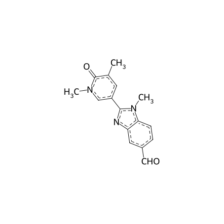 Cc1cc(-c2nc3cc(C=O)ccc3n2C)cn(C)c1=O